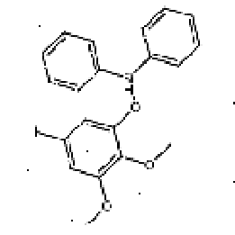 COc1cc(I)cc(O[SiH](c2ccccc2)c2ccccc2)c1OC